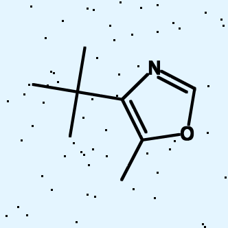 Cc1ocnc1C(C)(C)C